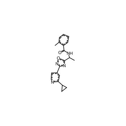 Cc1ccccc1C(=O)NC(C)c1nc(-c2ccnc(C3CC3)c2)no1